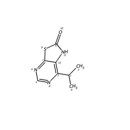 CC(C)c1ncnc2sc(=O)[nH]c12